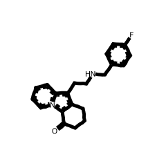 O=C1CCCc2c(CCNCc3ccc(F)cc3)c3ccccn3c21